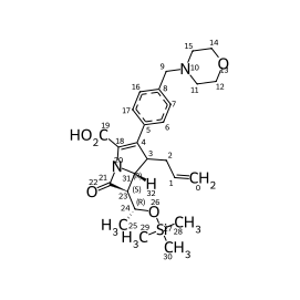 C=CCC1C(c2ccc(CN3CCOCC3)cc2)=C(C(=O)O)N2C(=O)[C@H]([C@@H](C)O[Si](C)(C)C)[C@@H]12